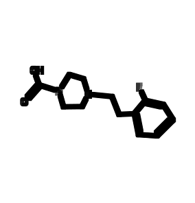 O=C(O)N1CCN(CCc2ccccc2F)CC1